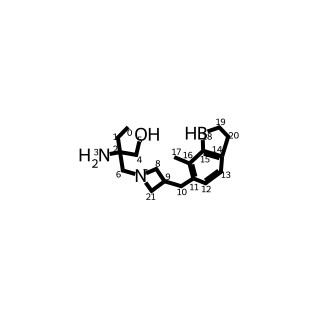 CCC(N)(CO)CN1CC(Cc2ccc3c(c2C)BCC3)C1